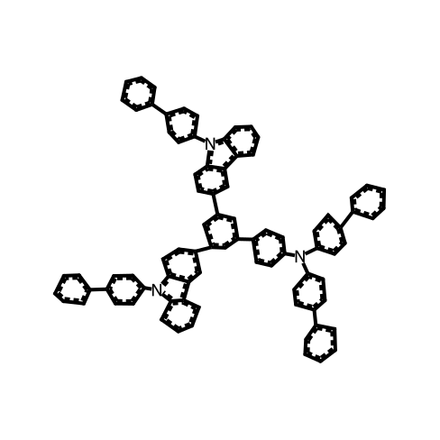 c1ccc(-c2ccc(N(c3ccc(-c4ccccc4)cc3)c3ccc(-c4cc(-c5ccc6c(c5)c5ccccc5n6-c5ccc(-c6ccccc6)cc5)cc(-c5ccc6c(c5)c5ccccc5n6-c5ccc(-c6ccccc6)cc5)c4)cc3)cc2)cc1